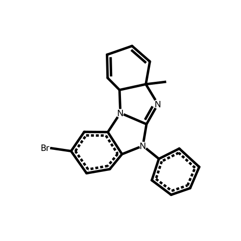 CC12C=CC=CC1N1C(=N2)N(c2ccccc2)c2ccc(Br)cc21